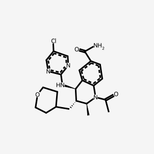 CC(=O)N1c2ccc(C(N)=O)cc2[C@H](Nc2ncc(Cl)cn2)[C@@H](CC2CCOCC2)[C@@H]1C